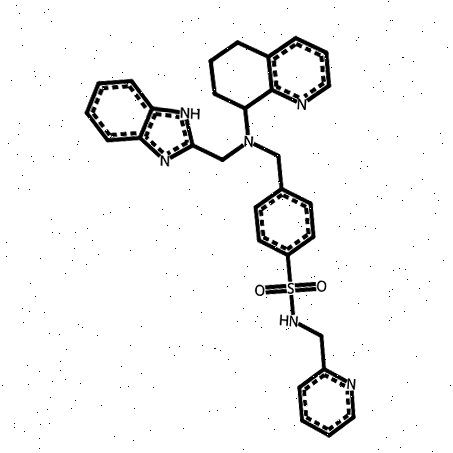 O=S(=O)(NCc1ccccn1)c1ccc(CN(Cc2nc3ccccc3[nH]2)C2CCCc3cccnc32)cc1